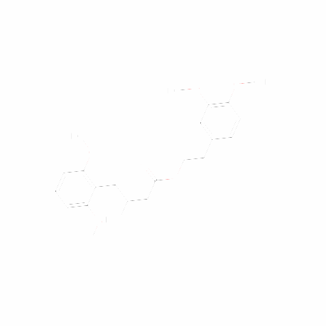 COc1ccc(CCOC(=O)CC(C)Cc2c(OC)cccc2OC)cc1OC